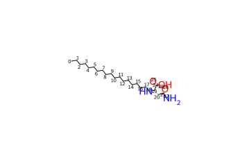 CCCCCCCCCCCCCCCCCCN[C@@H](CC(N)=O)C(=O)O